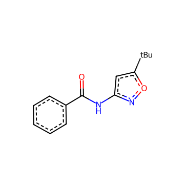 CC(C)(C)c1cc(NC(=O)c2ccccc2)no1